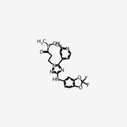 CN(C)C(=O)CCn1nc(Nc2ccc3c(c2)OC(F)(F)O3)nc1-c1ccnc(Cl)c1